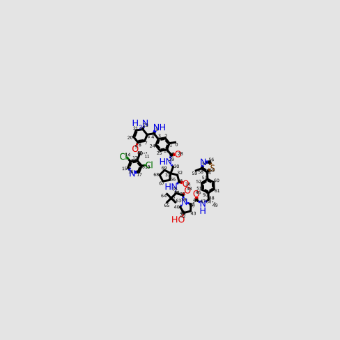 Cc1cc(C(=N)C2C=C(O[C@H](C)c3c(Cl)cncc3Cl)C=CC2N)ccc1C(=O)NCC1(CC(=O)N[C@H](C(=O)N2C[C@H](O)C[C@H]2C(=O)N[C@@H](C)c2ccc(-c3scnc3C)cc2)C(C)(C)C)CCCC1